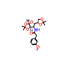 COc1cccc(CC(=O)N[C@H]2[C@H]3OC(C)(C)O[C@H]3O[C@@H]2[C@H]2COC(C)(C)O2)c1